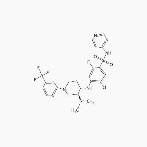 CN(C)[C@H]1CN(c2cc(C(F)(F)F)ccn2)CC[C@@H]1Nc1cc(F)c(S(=O)(=O)Nc2ccncn2)cc1Cl